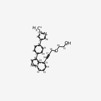 Cn1cc(-c2ccc(-c3cnn4cccc(C#CCOCCO)c34)cc2)cn1